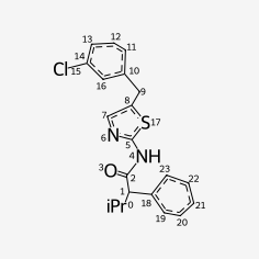 CC(C)C(C(=O)Nc1ncc(Cc2cccc(Cl)c2)s1)c1ccccc1